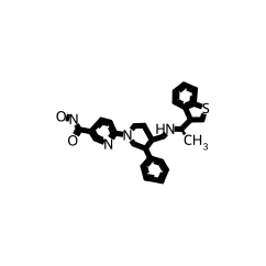 C[C@@H](NCC1CCN(c2ccc(C(=O)N=O)cn2)CC1c1ccccc1)C1CSc2ccccc21